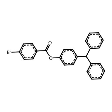 O=C(Oc1ccc([C](c2ccccc2)c2ccccc2)cc1)c1ccc(Br)cc1